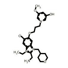 CC[n+]1c(CN)n(CC2CCOCC2)c2cc(OCCC[n+]3cc(O)cc(OC)c3)c(Cl)cc21